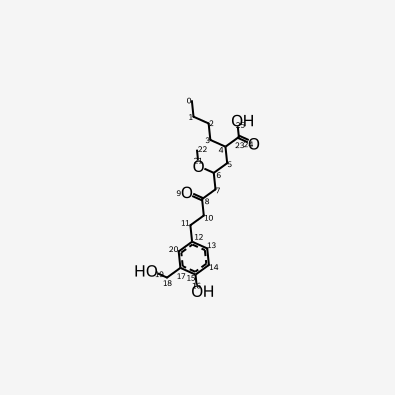 CCCCC(CC(CC(=O)CCc1ccc(O)c(CO)c1)OC)C(=O)O